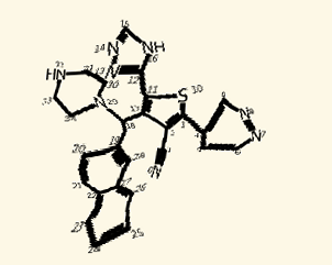 N#Cc1c(-c2ccnnc2)sc(-c2nnc[nH]2)c1C(c1ccc2ccccc2c1)N1CCNCC1